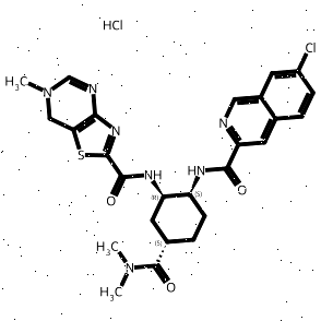 CN1C=Nc2nc(C(=O)N[C@@H]3C[C@@H](C(=O)N(C)C)CC[C@@H]3NC(=O)c3cc4ccc(Cl)cc4cn3)sc2C1.Cl